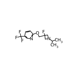 CC(C)N1CC(F)(COc2ccc(C(F)(F)F)cn2)C1